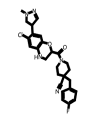 CN1CC(c2cc3c(cc2Cl)NCC(C(=O)N2CCC(C#N)(Cc4ccc(F)cc4)CC2)O3)C=N1